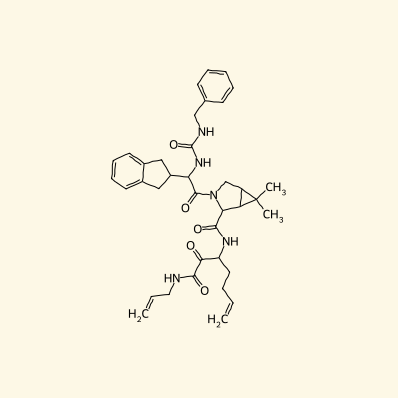 C=CCCC(NC(=O)C1C2C(CN1C(=O)C(NC(=O)NCc1ccccc1)C1Cc3ccccc3C1)C2(C)C)C(=O)C(=O)NCC=C